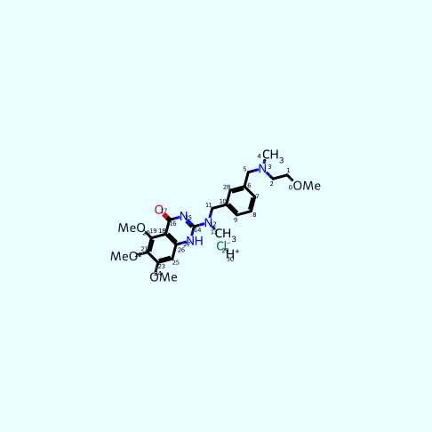 COCCN(C)Cc1cccc(CN(C)c2nc(=O)c3c(OC)c(OC)c(OC)cc3[nH]2)c1.[Cl-].[H+]